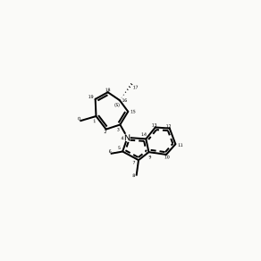 CC1=CC(n2c(C)c(C)c3ccccc32)=C[C@@H](C)C=C1